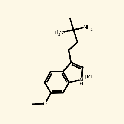 COc1ccc2c(CCC(C)(N)N)c[nH]c2c1.Cl